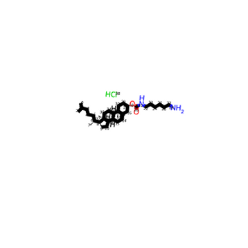 CC(C)CCC[C@@H](C)[C@H]1CC[C@H]2[C@@H]3CC=C4C[C@@H](OC(=O)NCCCCCCN)CC[C@]4(C)[C@H]3CC[C@]12C.Cl